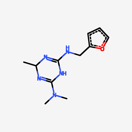 CC1N=C(NCc2ccco2)NC(N(C)C)=N1